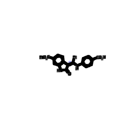 CCOC(=O)c1ccc2c(c1)NC(=O)/C2=C(/CC)Nc1ccc(C(=O)O)cc1